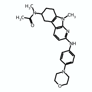 CC(=O)N(C)C1CCc2c(c3ccc(Nc4ccc(N5CCOCC5)cc4)nc3n2C)C1